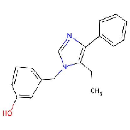 CCc1c(-c2ccccc2)ncn1Cc1cccc(O)c1